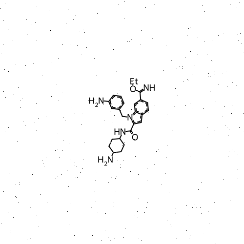 CCOC(=N)c1ccc2cc(C(=O)NC3CCC(N)CC3)n(Cc3cccc(N)c3)c2c1